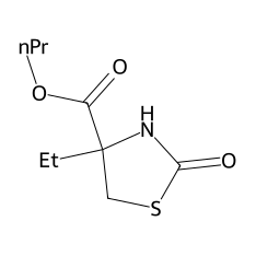 CCCOC(=O)C1(CC)CSC(=O)N1